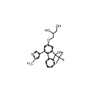 Cn1cc(-c2cc(OCC(O)CO)cc3c2-c2ccccc2C3(O)C(F)(F)F)cn1